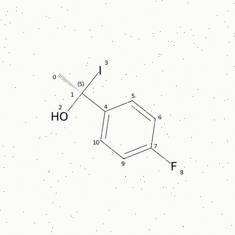 C[C@](O)(I)c1ccc(F)cc1